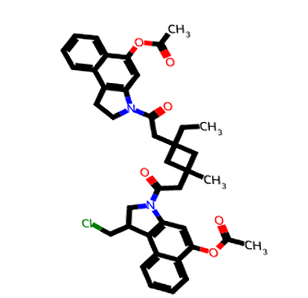 CCC1(CC(=O)N2CCc3c2cc(OC(C)=O)c2ccccc32)CC(C)(CC(=O)N2CC(CCl)c3c2cc(OC(C)=O)c2ccccc32)C1